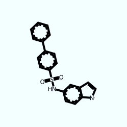 O=S(=O)(Nc1ccc2c(c1)C=C[N]2)c1ccc(-c2ccccc2)cc1